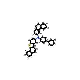 c1ccc(-c2ccc(N(c3ccc4ccc5ccccc5c4c3)c3ccc4sc5c6ccccc6ccc5c4c3)cc2)cc1